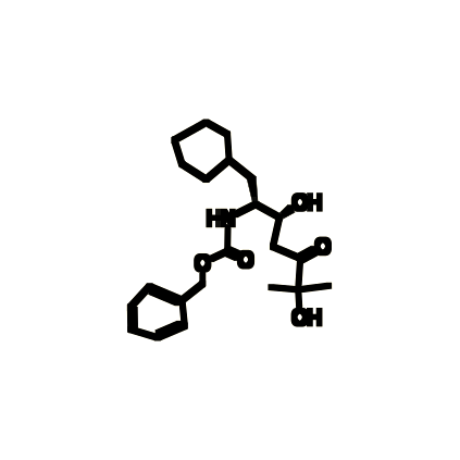 CC(C)(O)C(=O)C[C@H](O)[C@H](CC1CCCCC1)NC(=O)OCc1ccccc1